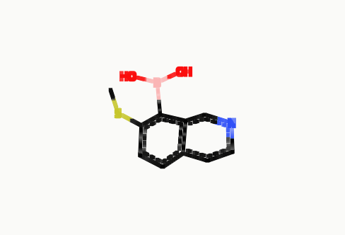 CSc1ccc2ccncc2c1B(O)O